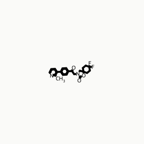 Cc1ncccc1-c1ccc(C(=O)CN2CC3(CCC(F)(F)CC3)OC2=O)cc1